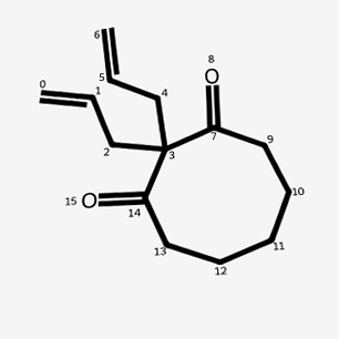 C=CCC1(CC=C)C(=O)CCCCCC1=O